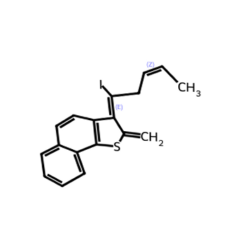 C=c1sc2c(ccc3ccccc32)/c1=C(\I)C/C=C\C